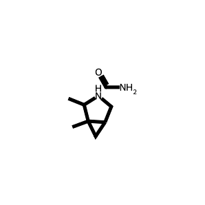 CC1NCC2CC21C.NC=O